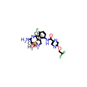 CC1(C)C(N)=N[C@](C)(c2cc(NC(=O)c3cnc(OCC(F)F)cn3)ccc2F)[C@@H]2CCN=S21=O